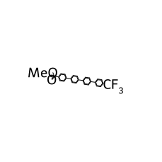 COC(=O)c1ccc(-c2ccc(-c3ccc(-c4ccc(C(F)(F)F)cc4)cc3)cc2)cc1